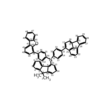 CC1(C)c2ccccc2-c2c(N(c3ccc(-c4ccc5c6c(cccc46)-c4ccccc4-5)cc3)c3ccc(-c4cccc5c4oc4ccccc45)cc3)cccc21